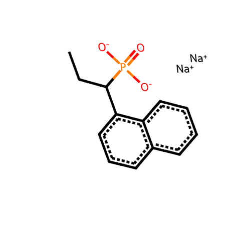 CCC(c1cccc2ccccc12)P(=O)([O-])[O-].[Na+].[Na+]